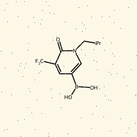 CC(C)Cn1cc(B(O)O)cc(C(F)(F)F)c1=O